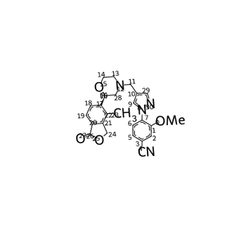 COc1cc(C#N)ccc1-n1cc(CN2CCO[C@H](c3ccc4c(c3C)COC4=O)C2)cn1